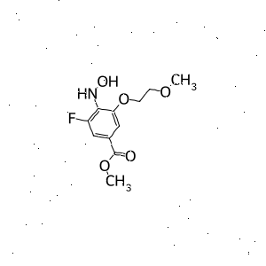 COCCOc1cc(C(=O)OC)cc(F)c1NO